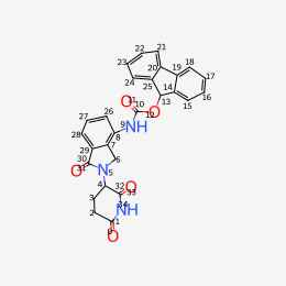 O=C1CCC(N2Cc3c(NC(=O)OC4c5ccccc5-c5ccccc54)cccc3C2=O)C(=O)N1